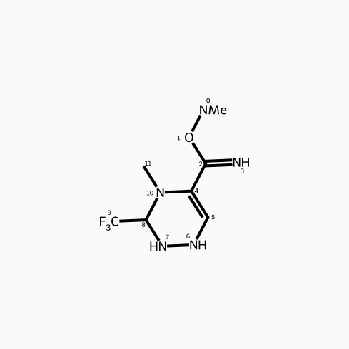 CNOC(=N)C1=CNNC(C(F)(F)F)N1C